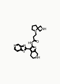 O=C(CCN1CCCC12CNC2)Nc1sc2c(c1-c1nc3cnccc3s1)CCNC2